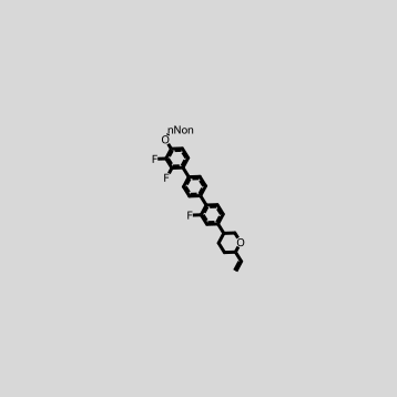 C=CC1CCC(c2ccc(-c3ccc(-c4ccc(OCCCCCCCCC)c(F)c4F)cc3)c(F)c2)CO1